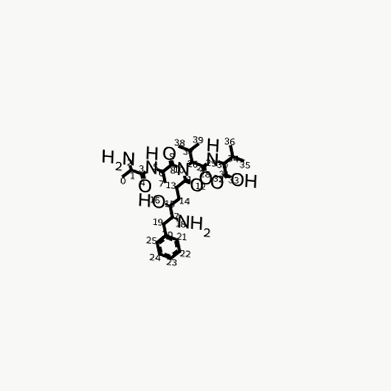 CC(N)C(=O)NC(C)C(=O)N(C(=O)CC[C@H](O)[C@@H](N)Cc1ccccc1)C(C(=O)NC(C(=O)O)C(C)C)C(C)C